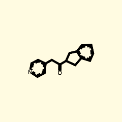 O=C(Cc1ccncc1)C1Cc2ccccc2C1